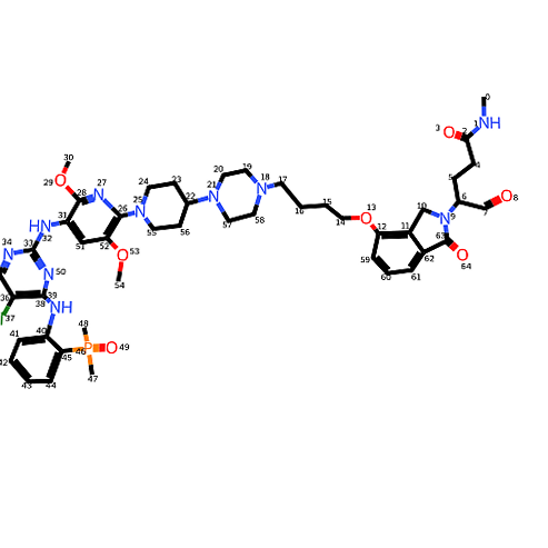 CNC(=O)CCC(C=O)N1Cc2c(OCCCCN3CCN(C4CCN(c5nc(OC)c(Nc6ncc(Cl)c(Nc7ccccc7P(C)(C)=O)n6)cc5OC)CC4)CC3)cccc2C1=O